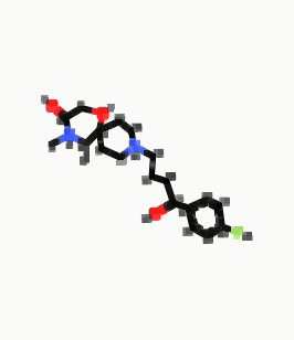 CC1N(C)C(=O)COC12CCN(CCCC(=O)c1ccc(F)cc1)CC2